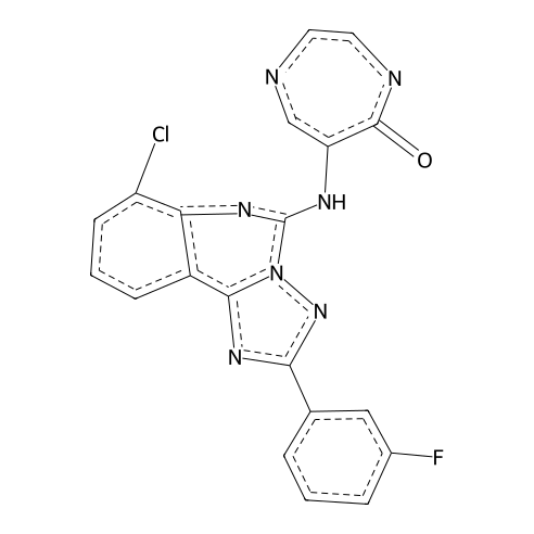 O=c1nccncc1Nc1nc2c(Cl)cccc2c2nc(-c3cccc(F)c3)nn12